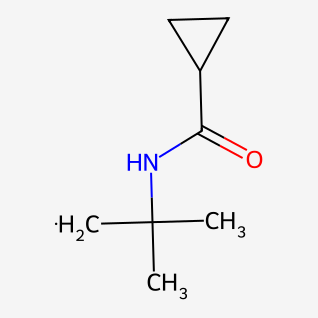 [CH2]C(C)(C)NC(=O)C1CC1